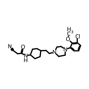 COc1c(Cl)cccc1N1CCN(CCC2CCC(NC(=O)CC#N)CC2)CC1